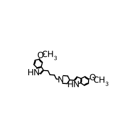 COc1ccc2[nH]c(C3CCN(CCCCc4c[nH]c5ccc(OC)cc45)CC3)cc2c1